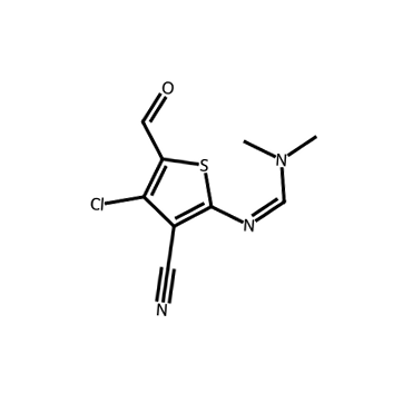 CN(C)/C=N\c1sc(C=O)c(Cl)c1C#N